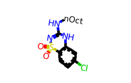 CCCCCCCCNC1=NS(=O)(=O)c2ccc(Cl)cc2N1